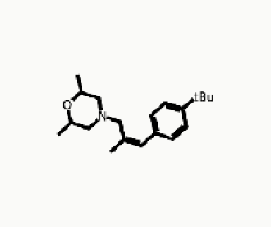 CC(=Cc1ccc(C(C)(C)C)cc1)CN1CC(C)OC(C)C1